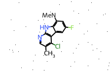 CNc1cc(F)cc2c1[nH]c1ncc(C)c(Cl)c12